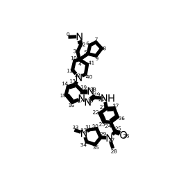 C/N=C\CC1(C2CCCC2)CCN(c2cccn3nc(Nc4ccc(C(=O)N(C)C5CCN(C)CC5)cc4)nc23)CC1